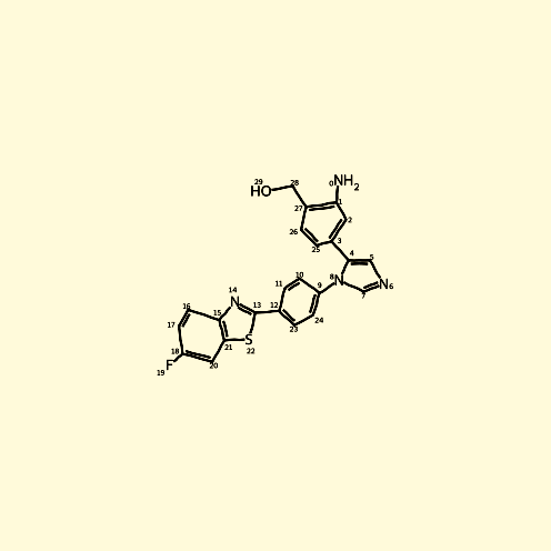 Nc1cc(-c2cncn2-c2ccc(-c3nc4ccc(F)cc4s3)cc2)ccc1CO